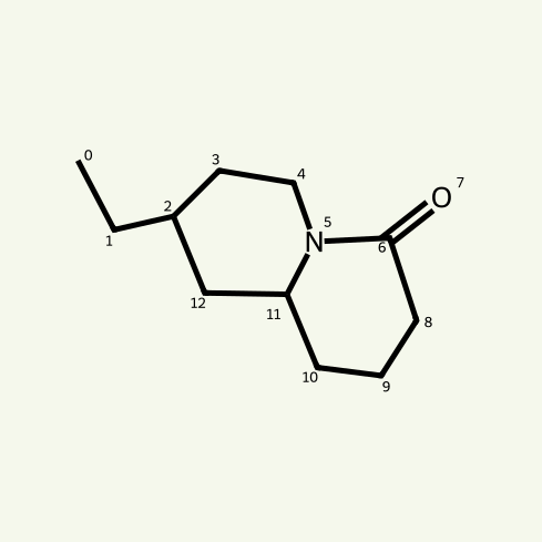 CCC1CCN2C(=O)CCCC2C1